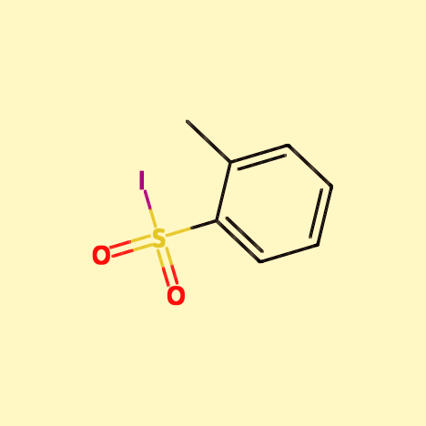 Cc1ccccc1S(=O)(=O)I